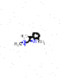 CNCc1[nH]c2c(C)cccc2c1C